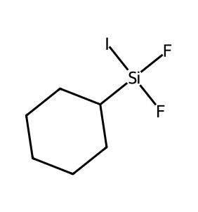 F[Si](F)(I)C1CCCCC1